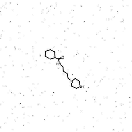 O=C(NCCCCN1CCNCC1)C1CCCCC1